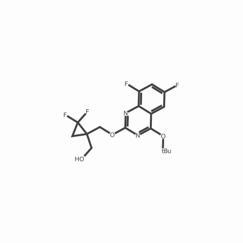 CC(C)(C)Oc1nc(OCC2(CO)CC2(F)F)nc2c(F)cc(F)cc12